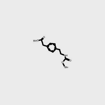 COC(=O)Cc1ccc(CCNC(=O)OC(C)(C)C)cc1